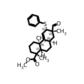 COC(=O)[C@]1(C)CCC[C@@]2(C)C3=C[C@H](Sc4ccccc4)[C@](C)(C=O)C[C@H]3CC[C@H]12